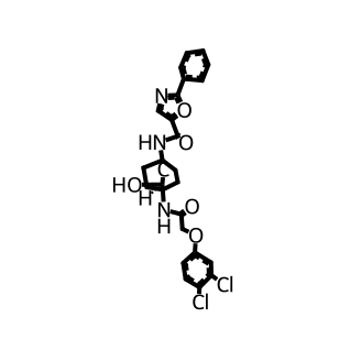 O=C(COc1ccc(Cl)c(Cl)c1)NC12CCC(NC(=O)c3cnc(-c4ccccc4)o3)(CC1)C[C@@H]2O